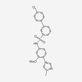 COc1cc(NS(=O)(=O)c2cccc(-c3ccc(Cl)cc3)c2)ccc1-n1cnc(C)c1